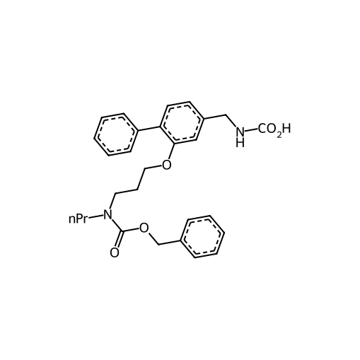 CCCN(CCCOc1cc(CNC(=O)O)ccc1-c1ccccc1)C(=O)OCc1ccccc1